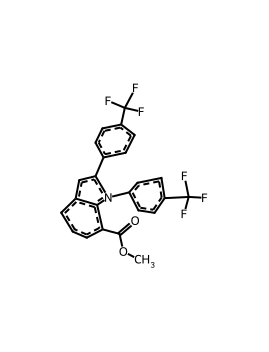 COC(=O)c1cccc2cc(-c3ccc(C(F)(F)F)cc3)n(-c3ccc(C(F)(F)F)cc3)c12